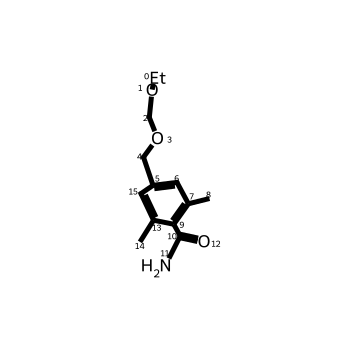 CCOCOCc1cc(C)c(C(N)=O)c(C)c1